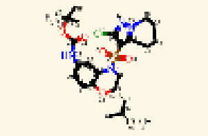 C[C@@H](C[C@H]1CN(S(=O)(=O)c2c(Cl)nn3c2CCCC3)c2cc(NC(=O)OC(C)(C)C(F)(F)F)ccc2O1)C(=O)O